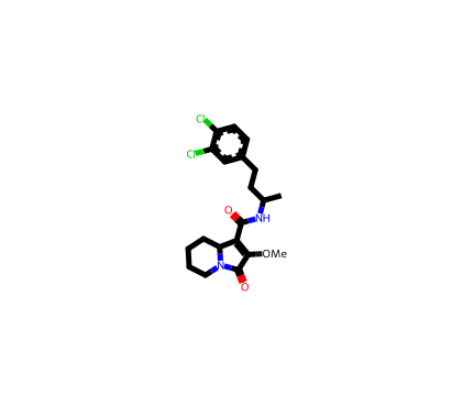 COC1=C(C(=O)NC(C)CCc2ccc(Cl)c(Cl)c2)C2CCCCN2C1=O